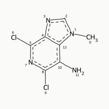 Cn1cnc2c(Cl)nc(Cl)c(N)c21